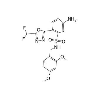 COc1ccc(CNS(=O)(=O)c2cc(N)ccc2-c2nnc(C(F)F)o2)c(OC)c1